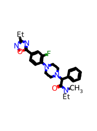 CCc1noc(-c2ccc(N3CCN(C(C(=O)N(C)CC)c4ccccc4)CC3)c(F)c2)n1